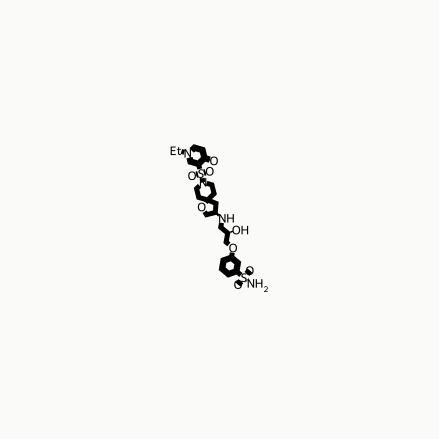 CCn1ccc(=O)c(S(=O)(=O)N2CCC3(CC2)C[C@@H](NC[C@H](O)COc2cccc(S(N)(=O)=O)c2)CO3)c1